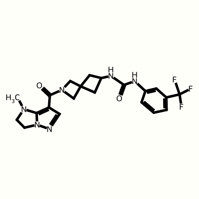 CN1CCn2ncc(C(=O)N3CC4(CC(NC(=O)Nc5cccc(C(F)(F)F)c5)C4)C3)c21